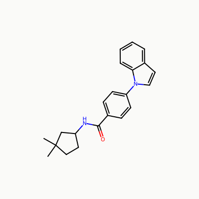 CC1(C)CCC(NC(=O)c2ccc(-n3ccc4ccccc43)cc2)C1